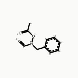 CC(=O)ON(C=S)Cc1ccccc1